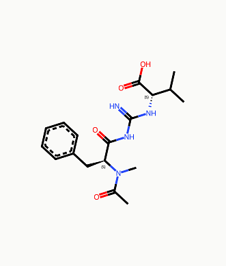 CC(=O)N(C)[C@@H](Cc1ccccc1)C(=O)NC(=N)N[C@H](C(=O)O)C(C)C